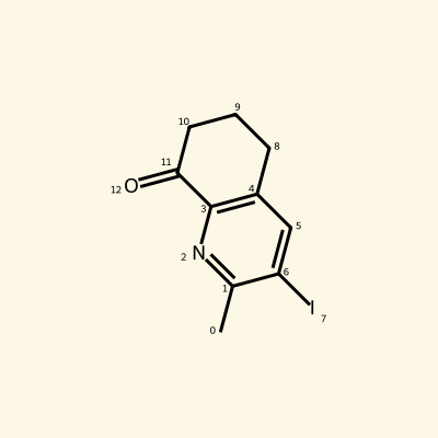 Cc1nc2c(cc1I)CCCC2=O